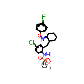 O=S(=O)(Nc1ccc(Cl)cc1CC1CCCCC1=NOc1ccc(F)cc1)C(F)(F)F